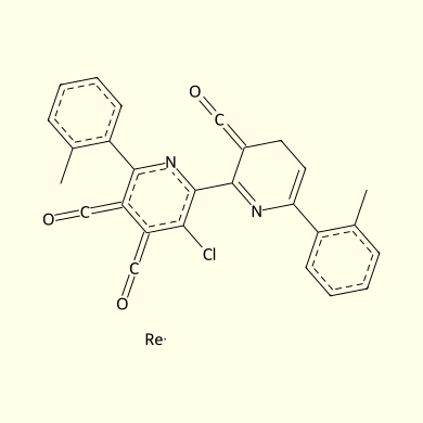 Cc1ccccc1C1=CCC(=C=O)C(c2nc(-c3ccccc3C)c(=C=O)c(=C=O)c2Cl)=N1.[Re]